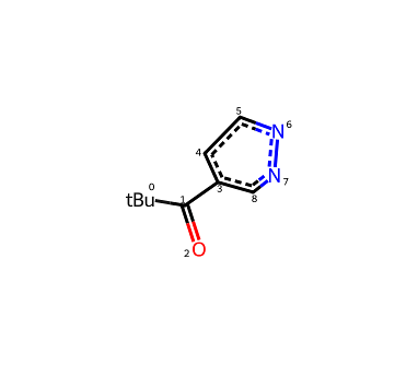 CC(C)(C)C(=O)c1ccnnc1